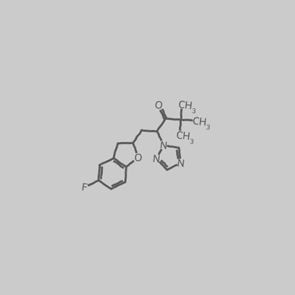 CC(C)(C)C(=O)C(CC1Cc2cc(F)ccc2O1)n1cncn1